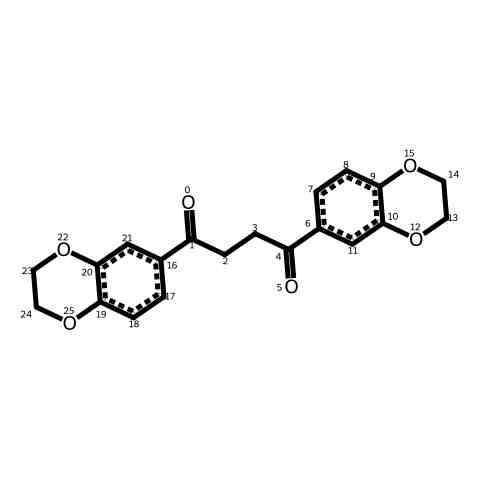 O=C(CCC(=O)c1ccc2c(c1)OCCO2)c1ccc2c(c1)OCCO2